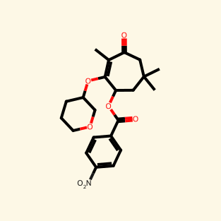 CC1=C(OC2CCCOC2)C(OC(=O)c2ccc([N+](=O)[O-])cc2)CC(C)(C)CC1=O